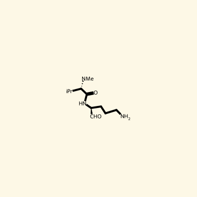 CN[C@H](C(=O)N[C@H](C=O)CCCN)C(C)C